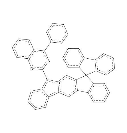 c1ccc(-c2nc(-n3c4ccccc4c4cc5c(cc43)C3(c4ccccc4-c4ccccc43)c3ccccc3-5)nc3ccccc23)cc1